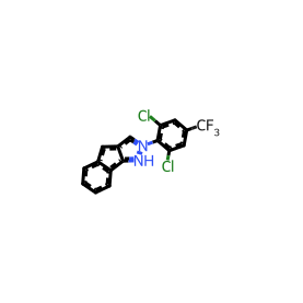 FC(F)(F)c1cc(Cl)c(-n2cc3cc4ccccc4c-3[nH]2)c(Cl)c1